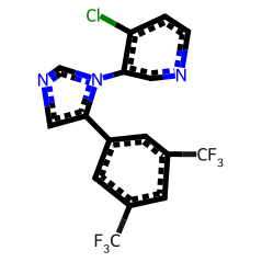 FC(F)(F)c1cc(-c2cncn2-c2cnccc2Cl)cc(C(F)(F)F)c1